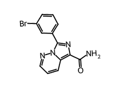 NC(=O)c1nc(-c2cccc(Br)c2)n2ncccc12